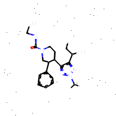 CCNC(=O)N1CCC(c2nn(C(C)C)nc2C(C)CC)C(c2ccccc2)C1